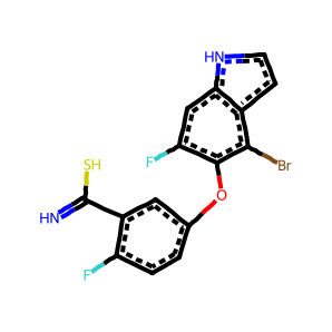 N=C(S)c1cc(Oc2c(F)cc3[nH]ccc3c2Br)ccc1F